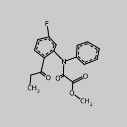 CCC(=O)c1ccc(F)cc1N(C(=O)C(=O)OC)c1ccccc1